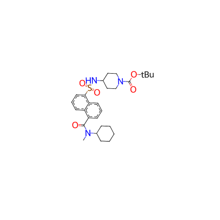 CN(C(=O)c1cccc2c(S(=O)(=O)NC3CCN(C(=O)OC(C)(C)C)CC3)cccc12)C1CCCCC1